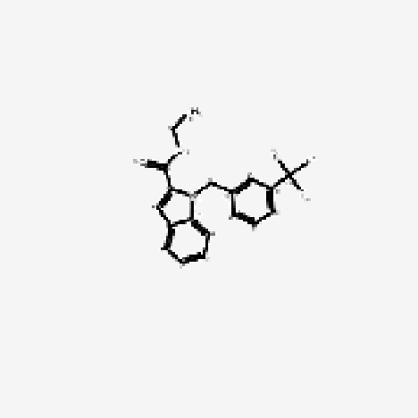 CCOC(=O)c1cc2ccccc2n1Cc1cccc(C(F)(F)F)c1